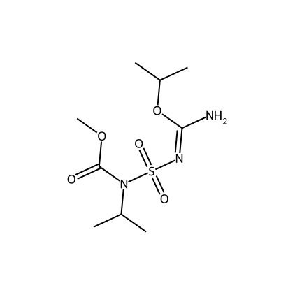 COC(=O)N(C(C)C)S(=O)(=O)N=C(N)OC(C)C